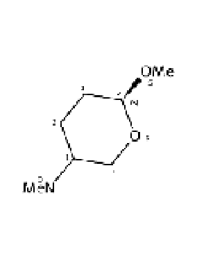 CNC1CC[C@@H](OC)OC1